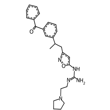 CC(Cc1cc(NC(N)=NCCN2CCCC2)on1)c1cccc(C(=O)c2ccccc2)c1